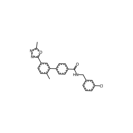 Cc1nnc(-c2ccc(C)c(-c3ccc(C(=O)NCc4cccc(Cl)c4)cc3)c2)o1